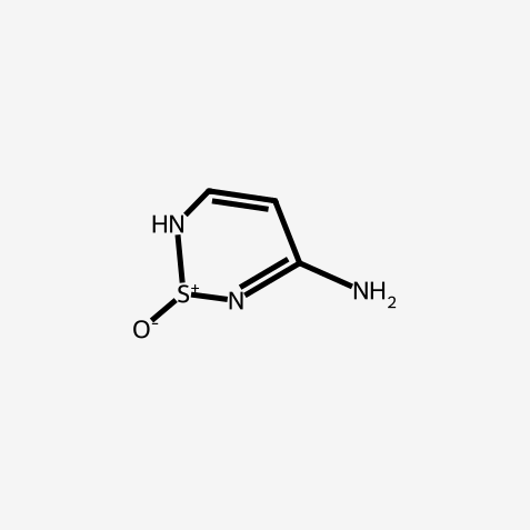 NC1=N[S+]([O-])NC=C1